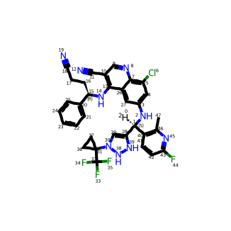 [2H][C@@](Nc1cc(Cl)c2ncc(C#N)c(N[C@H](CCC#N)c3ccccc3)c2c1)(C1=CN(C2(C(F)(F)F)CC2)NN1)c1ccc(F)nc1C